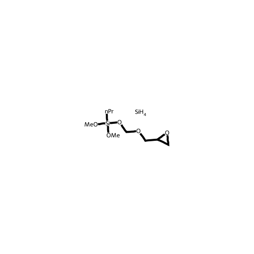 CCC[Si](OC)(OC)OCOCC1CO1.[SiH4]